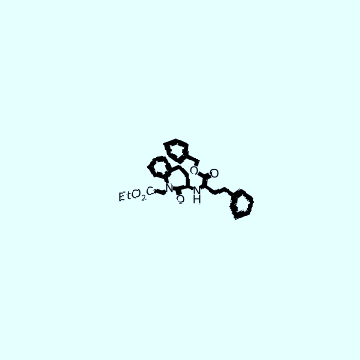 CCOC(=O)CN1C(=O)C(NC(CCc2ccccc2)C(=O)OCc2ccccc2)CCc2ccccc21